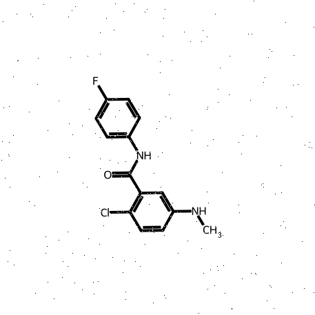 CNc1ccc(Cl)c(C(=O)Nc2ccc(F)cc2)c1